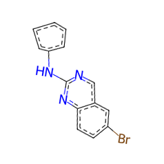 Brc1ccc2nc(Nc3ccccc3)ncc2c1